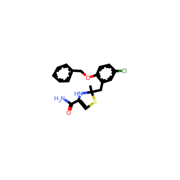 CC1(Cc2cc(Cl)ccc2OCc2ccccc2)NC(C(N)=O)=CS1